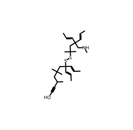 CC=CC(C=CC)(CNC)CC(C)(C)SSC(C=CC)(C=CC)CC(C)(C)CC(C)C#CO